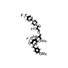 COCC(COCC(O)C(=O)N1CCN(c2ncc(C(F)(F)F)cn2)CC1)Nc1cnn(Cc2ccc(OC)cc2)c(=O)c1C(F)(F)F